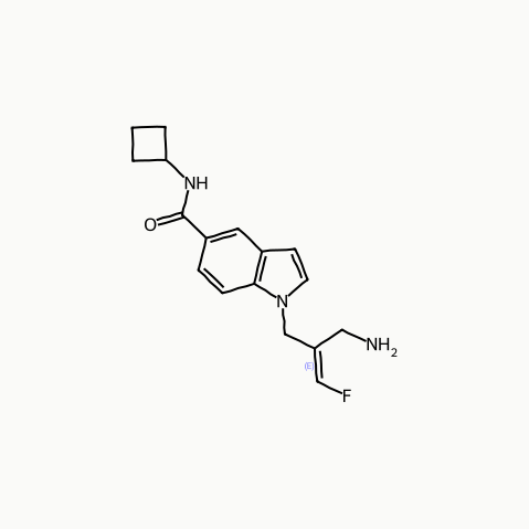 NC/C(=C\F)Cn1ccc2cc(C(=O)NC3CCC3)ccc21